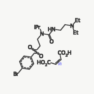 CCN(CC)CCNC(=O)N(CCS(=O)(=O)c1ccc(Br)cc1)C(C)C.O=C(O)/C=C\C(=O)O